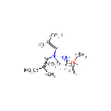 CCOC(=O)N(C=C(C)C(=O)O)C=C(C)C(=O)O.CCOC(N)=O.[SiH3]O[SiH3]